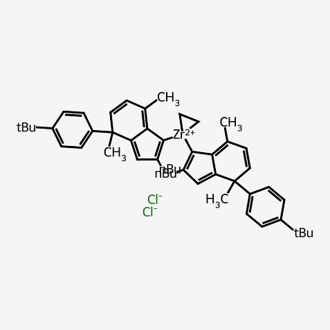 CCCCC1=[C]([Zr+2]2([C]3=C(CCCC)C=C4C3=C(C)C=CC4(C)c3ccc(C(C)(C)C)cc3)[CH2][CH2]2)C2=C(C)C=CC(C)(c3ccc(C(C)(C)C)cc3)C2=C1.[Cl-].[Cl-]